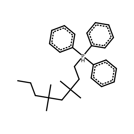 CCCC(C)(C)CC(C)(C)CC[PH](c1ccccc1)(c1ccccc1)c1ccccc1